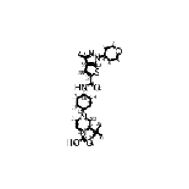 Cc1nn(C2CCOCC2)c2sc(C(=O)N[C@H]3CC[C@@H](N4CCN(C(=O)O)C(C(C)(C)C)C4)CC3)cc12